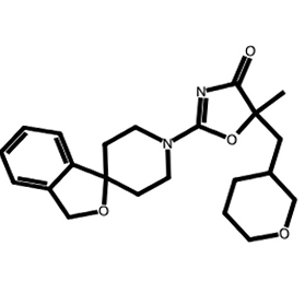 CC1(CC2CCCOC2)OC(N2CCC3(CC2)OCc2ccccc23)=NC1=O